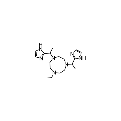 CCN1CCN(C(C)c2ncc[nH]2)CCN(C(C)c2ncc[nH]2)CC1